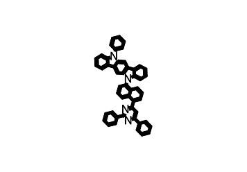 c1ccc(-c2cc(-c3cccc4c(-n5c6ccccc6c6cc7c(cc65)c5ccccc5n7-c5ccccc5)cccc34)nc(-c3ccccc3)n2)cc1